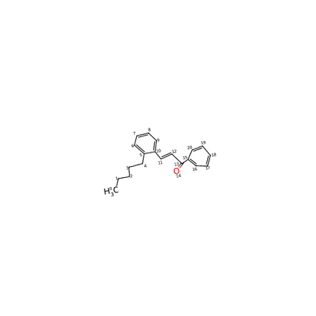 CCCCCc1ccccc1C=CC(=O)c1ccccc1